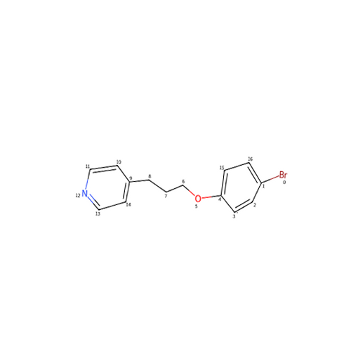 Brc1c[c]c(OCCCc2ccncc2)cc1